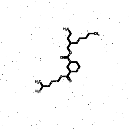 CCCCCC(CCC)COC(=O)C1CCCC(C(=O)OCCCC(C)C)C1